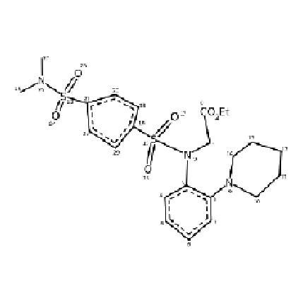 CCOC(=O)CN(c1ccccc1N1CCCCC1)S(=O)(=O)c1ccc(S(=O)(=O)N(C)C)cc1